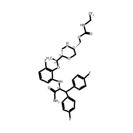 C[C@H](Oc1c(F)cccc1N[C@H](C(N)=O)C(c1ccc(F)cc1)c1ccc(F)cc1)[C@@H]1CN[C@H](COC(=O)NCC(F)(F)F)CO1